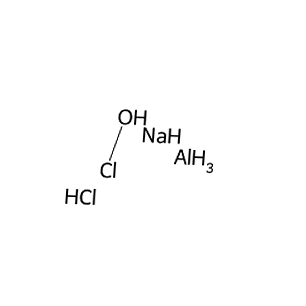 Cl.OCl.[AlH3].[NaH]